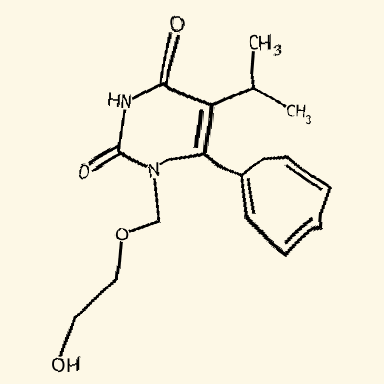 CC(C)c1c(-c2ccccc2)n(COCCO)c(=O)[nH]c1=O